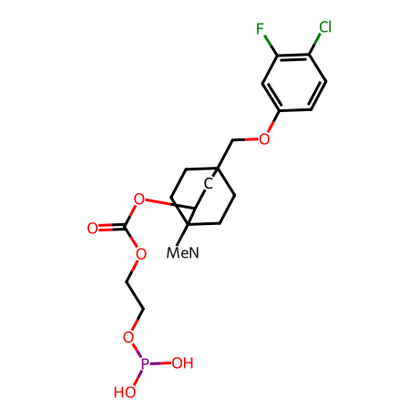 CNC12CCC(COc3ccc(Cl)c(F)c3)(CC1)CC2OC(=O)OCCOP(O)O